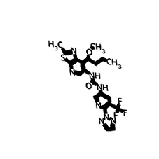 CCCC(OC)c1c(NC(=O)Nc2cnc(-n3nccn3)c(C(F)(F)F)c2)cnc2sc(C)nc12